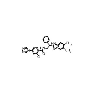 Cc1cc2nc(C(CNC(=O)c3ccc(-n4cnnc4)cc3Cl)c3ccccc3)[nH]c2cc1C